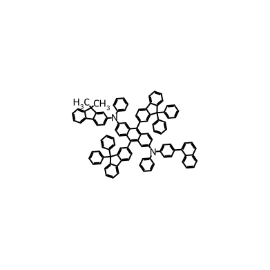 CC1(C)c2ccccc2-c2ccc(N(c3ccccc3)c3ccc4c(-c5ccc6c(c5)C(c5ccccc5)(c5ccccc5)c5ccccc5-6)c5cc(N(c6ccccc6)c6ccc(-c7cccc8ccccc78)cc6)ccc5c(-c5ccc6c(c5)C(c5ccccc5)(c5ccccc5)c5ccccc5-6)c4c3)cc21